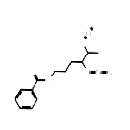 CC(N=[N+]=[N-])C(CCCOC(=O)c1ccccc1)N=[N+]=[N-]